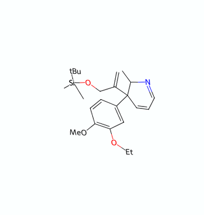 C=C(CO[Si](C)(C)C(C)(C)C)C1(c2ccc(OC)c(OCC)c2)C=CC=NC1C